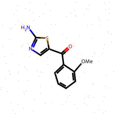 COc1ccccc1C(=O)c1cnc(N)s1